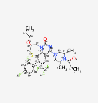 C=CC(=O)N1[C@H](C)CN(c2nc(=O)n3c4c(c(-c5ccc(F)cc5F)c(C(F)(F)F)cc24)SCC(OCCC)C3)C[C@@H]1C